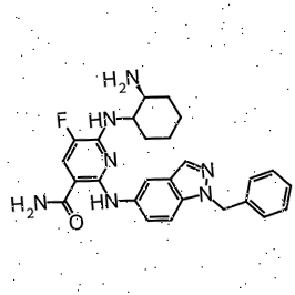 NC(=O)c1cc(F)c(NC2CCCC[C@@H]2N)nc1Nc1ccc2c(cnn2Cc2ccccc2)c1